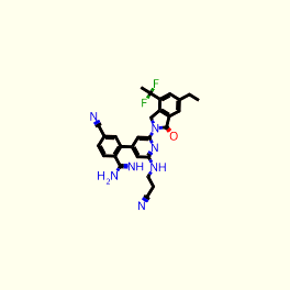 CCc1cc2c(c(C(C)(F)F)c1)CN(c1cc(-c3cc(C#N)ccc3C(=N)N)cc(NCCC#N)n1)C2=O